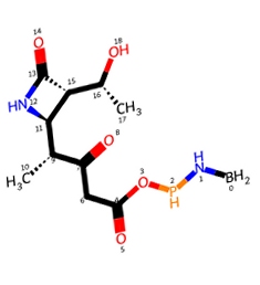 BNPOC(=O)CC(=O)[C@H](C)[C@H]1NC(=O)[C@@H]1[C@@H](C)O